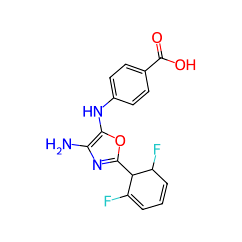 Nc1nc(C2C(F)=CC=CC2F)oc1Nc1ccc(C(=O)O)cc1